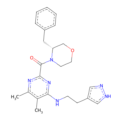 Cc1nc(C(=O)N2CCOC[C@H]2Cc2ccccc2)nc(NCCc2cn[nH]c2)c1C